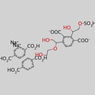 O=C(O)c1ccc(C(=O)O)cc1.O=C(O)c1ccc(C(=O)O)cc1.O=C([O-])c1ccc(C(CO)OCCO)c(C(=O)[O-])c1C(O)COS(=O)(=O)O.[Na+].[Na+]